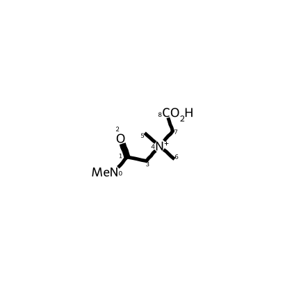 CNC(=O)C[N+](C)(C)CC(=O)O